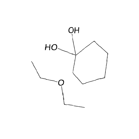 CCOCC.OC1(O)CCCCC1